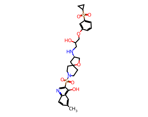 Cc1ccc2ncc(S(=O)(=O)N3CCC4(CC3)C[C@@H](NCC(O)COc3cccc(S(=O)(=O)C5CC5)c3)CO4)c(O)c2c1